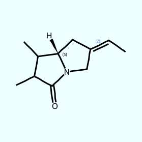 C/C=C1/C[C@H]2C(C)C(C)C(=O)N2C1